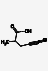 CC(CC#P=O)C(=O)O